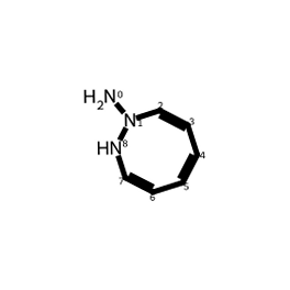 Nn1cccccc[nH]1